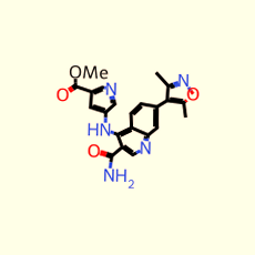 COC(=O)c1cncc(Nc2c(C(N)=O)cnc3cc(-c4c(C)noc4C)ccc23)c1